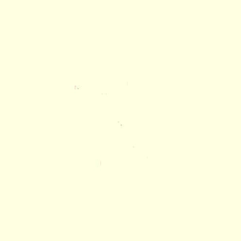 COc1nc(C(F)(F)C(=O)c2ccccc2)c(F)cc1CN(C)C(=O)O